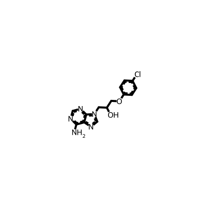 Nc1ncnc2c1ncn2CC(O)COc1ccc(Cl)cc1